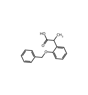 CC(C(=O)O)c1ccccc1OCc1ccccc1